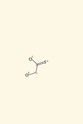 S=C(Cl)CCl